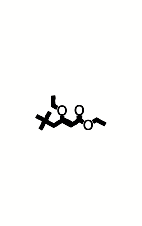 CCOC(=O)/C=C(/CC(C)(C)C)OCC